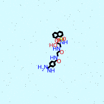 N=C(N)c1ccc(C(=O)NCCC(=O)NCC(NS(=O)(=O)c2cccc3ccccc23)C(=O)O)cc1